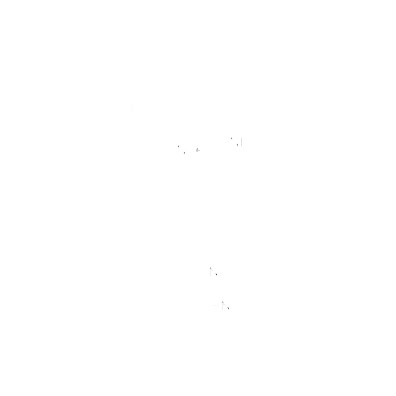 FC(F)CCN(CCCCCc1ccc2c(n1)NCCC2)[C@@H]1CCNC1